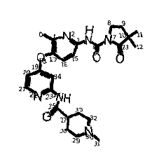 Cc1nc(NC(=O)N2CCC(C)(C)C2=O)ccc1Oc1ccnc(NC(=O)C2CCN(C)CC2)c1